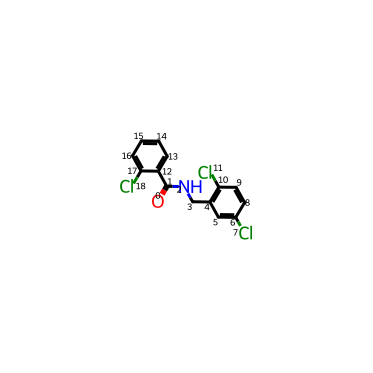 O=C(NCc1cc(Cl)ccc1Cl)c1ccccc1Cl